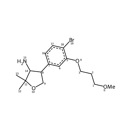 COCCCOc1cc(C2COC(C)(C)C2N)ccc1Br